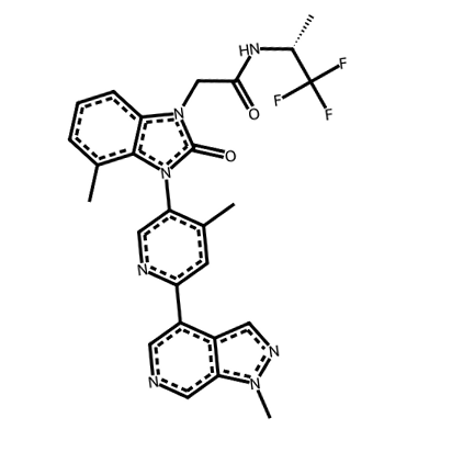 Cc1cc(-c2cncc3c2cnn3C)ncc1-n1c(=O)n(CC(=O)N[C@H](C)C(F)(F)F)c2cccc(C)c21